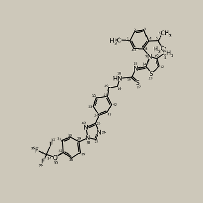 Cc1ccc(C(C)C)c(-n2c(C)cs/c2=N\C(=S)NCCc2ccc(-c3ncn(-c4ccc(OC(F)(F)F)cc4)n3)cc2)c1